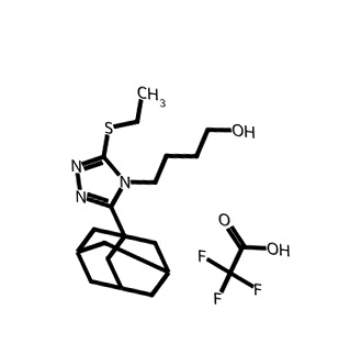 CCSc1nnc(C23CC4CC(CC(C4)C2)C3)n1CCCCO.O=C(O)C(F)(F)F